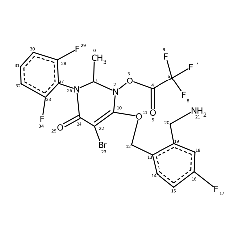 CC1N(OC(=O)C(F)(F)F)C(OCc2ccc(F)cc2CN)=C(Br)C(=O)N1c1c(F)cccc1F